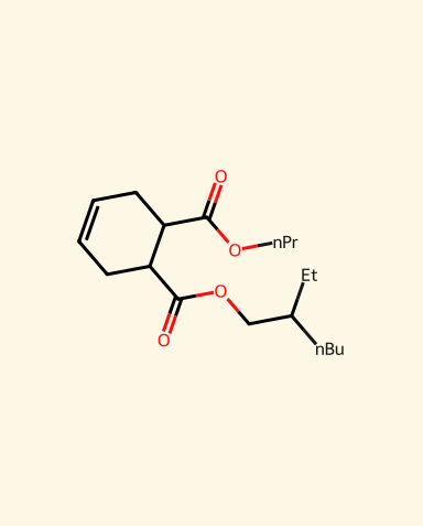 CCCCC(CC)COC(=O)C1CC=CCC1C(=O)OCCC